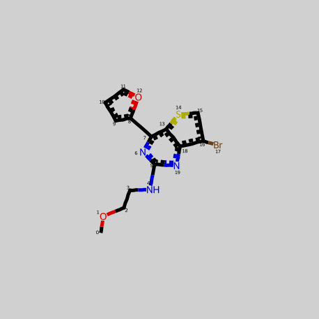 COCCNc1nc(-c2ccco2)c2scc(Br)c2n1